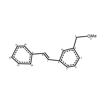 COCc1cccc(C=Cc2ccccc2)c1